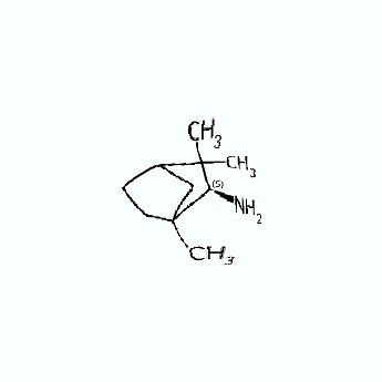 CC12CCC(C1)C(C)(C)[C@H]2N